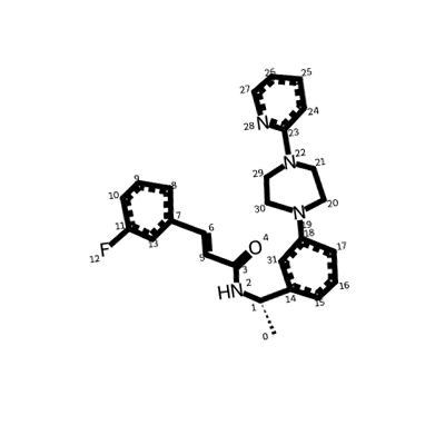 C[C@H](NC(=O)C=Cc1cccc(F)c1)c1cccc(N2CCN(c3ccccn3)CC2)c1